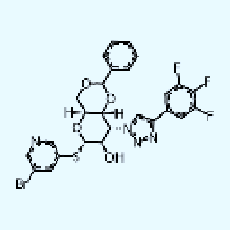 O[C@@H]1[C@@H](n2cc(-c3cc(F)c(F)c(F)c3)nn2)[C@H]2OC(c3ccccc3)OC[C@H]2O[C@@H]1Sc1cncc(Br)c1